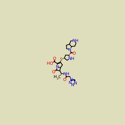 C[C@@H](NC(=O)Cn1cnnn1)C1C(=O)N2C(C(=O)O)=C(S[C@@H]3CN[C@H](C(=O)N4CCC5CNCCC54)C3)CC12